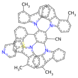 Cc1cccc2c1c1ccccc1n2-c1c(C#N)c(-n2c3ccccc3c3c(C)cccc32)c(-n2c3ccccc3c3c(C)cccc32)c(-c2cccc3c2sc2ccncc23)c1-n1c2ccccc2c2c(C)cccc21